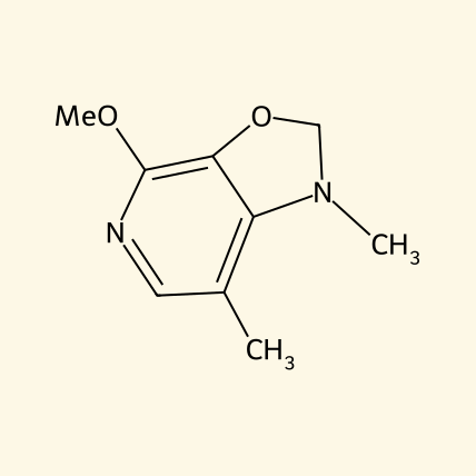 COc1ncc(C)c2c1OCN2C